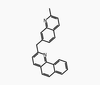 Cc1ccc2ccc(Cc3ccc4ccc5ccccc5c4n3)cc2n1